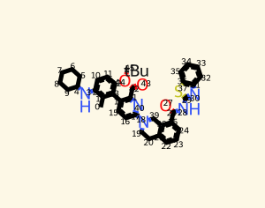 Cc1c(NC2CCCCC2)cccc1-c1ccc(N2CCc3cccc(C(=O)Nc4nc5ccccc5s4)c3C2)nc1C(=O)OC(C)(C)C